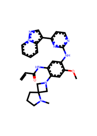 C=CC(=O)Nc1cc(Nc2nccc(-c3cnn4ccccc34)n2)c(OC)cc1N1CC2(CCCN2C)C1